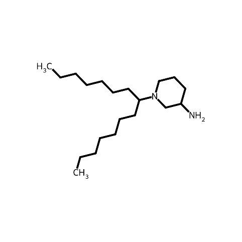 CCCCCCCC(CCCCCCC)N1CCCC(N)C1